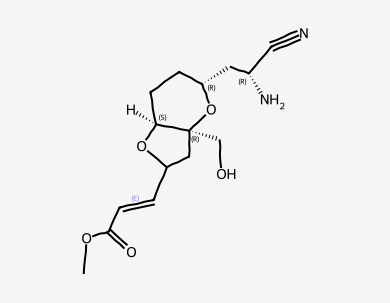 COC(=O)/C=C/C1C[C@]2(CO)O[C@@H](C[C@@H](N)C#N)CC[C@@H]2O1